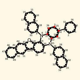 c1ccc(-c2ccc(N(c3ccc4ccccc4c3)c3c(N(c4ccccc4)c4ccc5ccccc5c4)ccc4c3oc3cc5ccccc5cc34)cc2)cc1